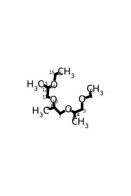 CCOCC(C)OCC(C)OCC(C)OCC